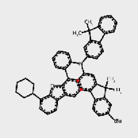 CC(C)(C)c1ccc2c(c1)C(C)(C)c1cc(N(c3ccc4c(c3)C(C)(C)c3ccccc3-4)c3ccccc3-c3cccc4c3oc3c(C5CCCCC5)cccc34)ccc1-2